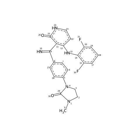 CN1CCN(c2ccc(C(=N)c3c(Nc4c(F)cccc4F)cc[nH]c3=O)cc2)C1=O